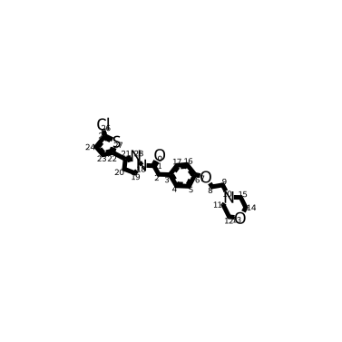 O=C(Cc1ccc(OCCN2CCOCC2)cc1)N1CCC(c2ccc(Cl)s2)=N1